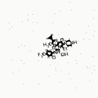 CCc1c(N2CCNCC2)c(=O)c2nc(C3CC3)c(C)nc2n1CC(=O)Nc1ccc(C(F)(F)F)cc1Cl.Cl